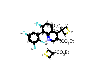 CCOC(=O)C1CSC1.CCOC(=O)c1cnc2c(-c3cc(F)cc(F)c3F)c(F)ccc2c1C1(C(=O)OCC)CSC1